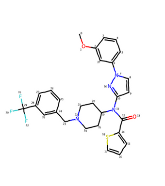 COc1cccc(-n2ccc(N(C(=O)c3cccs3)C3CCN(Cc4cccc(C(F)(F)F)c4)CC3)n2)c1